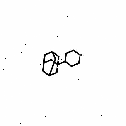 C1CC(C23CC4CC(CC(C4)C2)C3)CCN1